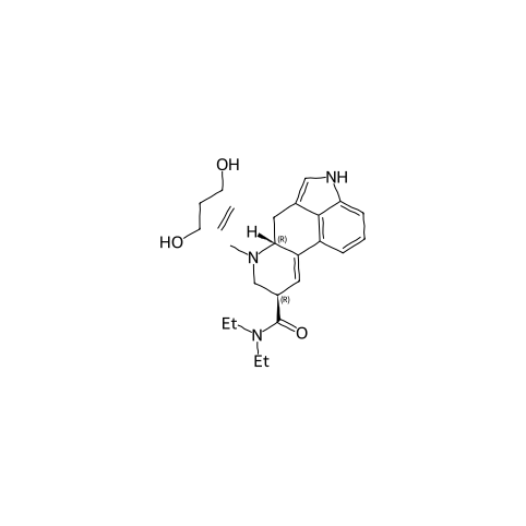 C=C.CCN(CC)C(=O)[C@@H]1C=C2c3cccc4[nH]cc(c34)C[C@H]2N(C)C1.OCCCO